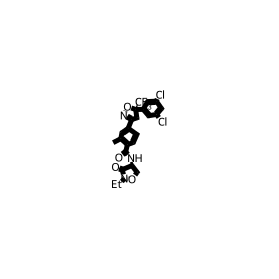 CCN1OC[C@H](NC(=O)c2ccc(C3=NO[C@](c4cc(Cl)cc(Cl)c4)(C(F)(F)F)C3)cc2C)C1=O